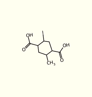 CC1CC(C(=O)O)C(I)CC1C(=O)O